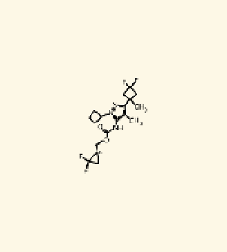 Cc1c(C2(C)CC(F)(F)C2)nn(C2CCC2)c1NC(=O)OC[C@H]1CC1(F)F